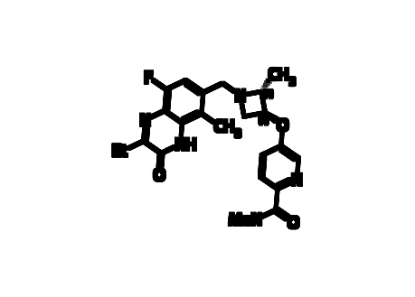 CCc1nc2c(F)cc(CN3C[C@H](Oc4ccc(C(=O)NC)nc4)[C@H]3C)c(C)c2[nH]c1=O